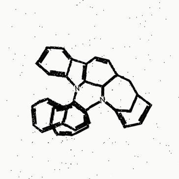 C1=CCC=C(n2c3c(c4ccccc42)C=CC2CC4C=CC=C(C4)N(c4ccc5ccccc5c4)C32)C=C1